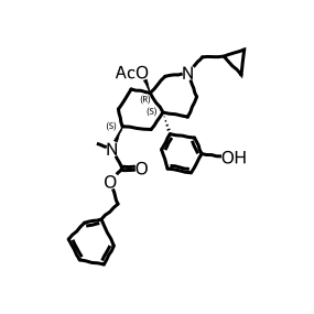 CC(=O)O[C@]12CC[C@H](N(C)C(=O)OCc3ccccc3)C[C@]1(c1cccc(O)c1)CCN(CC1CC1)C2